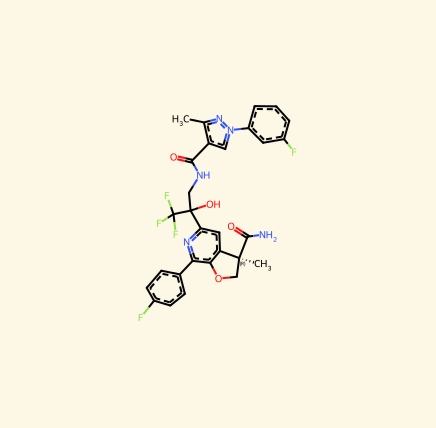 Cc1nn(-c2cccc(F)c2)cc1C(=O)NCC(O)(c1cc2c(c(-c3ccc(F)cc3)n1)OC[C@]2(C)C(N)=O)C(F)(F)F